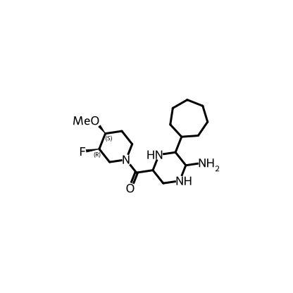 CO[C@H]1CCN(C(=O)C2CNC(N)C(C3CCCCCC3)N2)C[C@H]1F